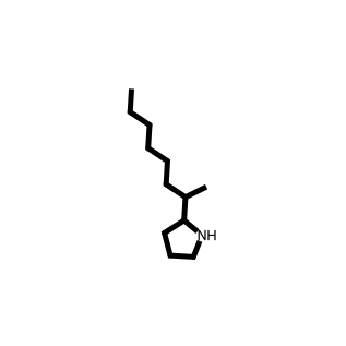 CCCCCCC(C)C1CCCN1